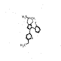 CCc1ccc(-n2cc(CNC)c(CC)c2-c2ccccc2F)cn1